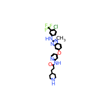 Cn1c(Nc2ccc(Cl)c(C(F)(F)F)c2)nc2cc(Oc3ccnc(NC(=O)CCC4CCNCC4)c3)ccc21